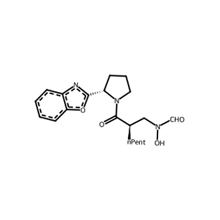 CCCCC[C@H](CN(O)C=O)C(=O)N1CCC[C@H]1c1nc2ccccc2o1